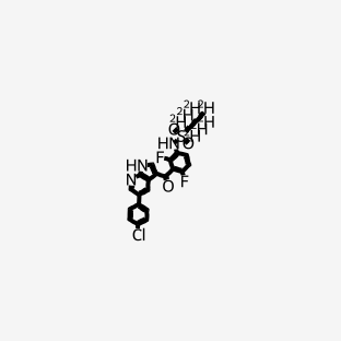 [2H]C([2H])([2H])C([2H])([2H])C([2H])([2H])S(=O)(=O)Nc1ccc(F)c(C(=O)c2c[nH]c3ncc(-c4ccc(Cl)cc4)cc23)c1F